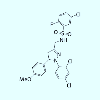 COc1ccc(C2CC(CNS(=O)(=O)c3cc(Cl)ccc3F)=NN2c2ccc(Cl)cc2Cl)cc1